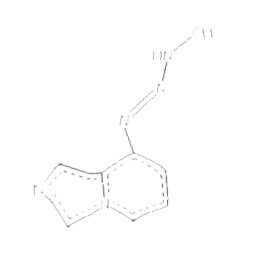 CNN=Nc1cccn2cncc12